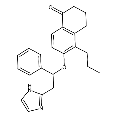 CCCc1c(OC(Cc2ncc[nH]2)c2ccccc2)ccc2c1CCCC2=O